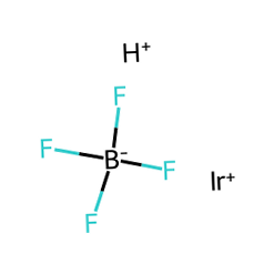 F[B-](F)(F)F.[H+].[Ir+]